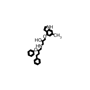 Cc1cc(OCC(O)CNCC(CCc2ccccc2)Oc2ccccc2)c2cc[nH]c2c1